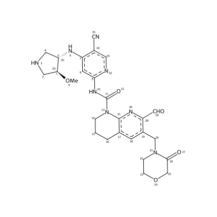 CO[C@H]1CNC[C@@H]1Nc1cc(NC(=O)N2CCCc3cc(CN4CCOCC4=O)c(C=O)nc32)ncc1C#N